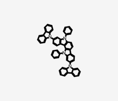 c1ccc(-n2c3cc(-n4c5ccccc5c5ccccc54)ccc3c3c2ccc2c4ccc(-n5c6ccccc6c6ccccc65)cc4n(-c4ccccc4)c23)cc1